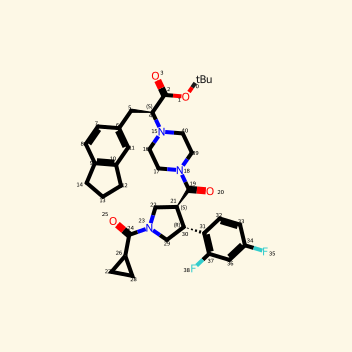 CC(C)(C)OC(=O)[C@H](Cc1ccc2c(c1)CCC2)N1CCN(C(=O)[C@@H]2CN(C(=O)C3CC3)C[C@H]2c2ccc(F)cc2F)CC1